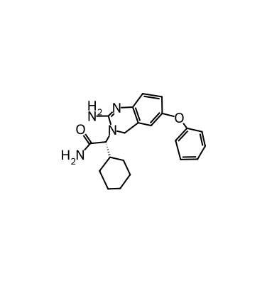 NC(=O)[C@@H](C1CCCCC1)N1Cc2cc(Oc3ccccc3)ccc2N=C1N